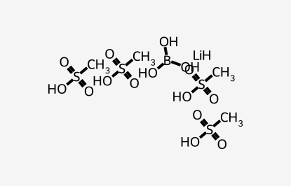 CS(=O)(=O)O.CS(=O)(=O)O.CS(=O)(=O)O.CS(=O)(=O)O.OB(O)O.[LiH]